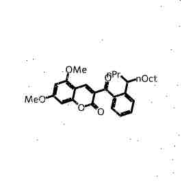 CCCCCCCCC(CCC)c1ccccc1C(=O)c1cc2c(OC)cc(OC)cc2oc1=O